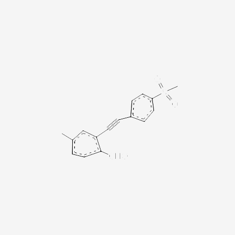 CS(=O)(=O)c1ccc(C#Cc2cc(F)ccc2C=O)cc1